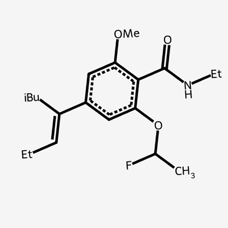 CC/C=C(/c1cc(OC)c(C(=O)NCC)c(OC(C)F)c1)C(C)CC